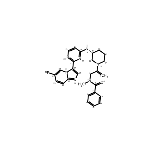 C=C(CN(C)C(=O)c1ccccc1)N1CCC[C@@H](Nc2ccnc(-c3cnc4ccc(F)cn34)n2)C1